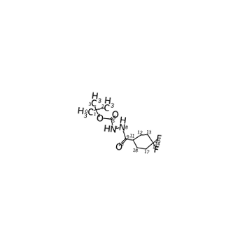 CC(C)(C)OC(=O)NNC(=O)C1CCC(F)(F)CC1